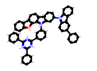 c1ccc(-c2ccc3c(c2)c2ccccc2n3-c2ccc3c4ccc5c6ccccc6oc5c4n(-c4cccc(-c5nc(-c6ccccc6)nc(-c6ccccc6)n5)c4)c3c2)cc1